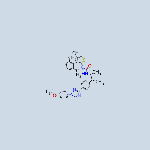 CC1=CS/C(=N\C(=O)NC(C)C(C)c2ccc(-c3ncn(-c4ccc(OC(F)(F)F)cc4)n3)cc2)C1c1c(C)cccc1C